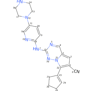 N#Cc1cc2cnc(Nc3ccc(N4CCNCC4)cn3)nn2c1C1=CCCC1